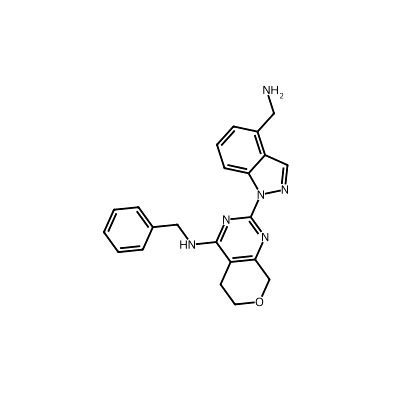 NCc1cccc2c1cnn2-c1nc2c(c(NCc3ccccc3)n1)CCOC2